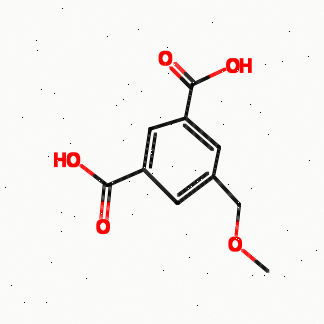 COCc1cc(C(=O)O)cc(C(=O)O)c1